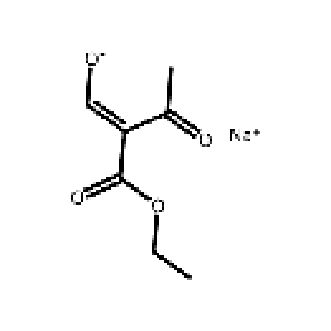 CCOC(=O)C(=C[O-])C(C)=O.[Na+]